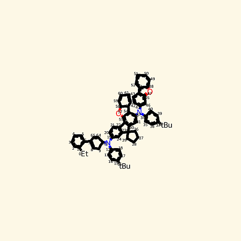 CCc1ccccc1C1=CCC(N(c2ccc(C(C)(C)C)cc2)c2ccc3c(c2)C2(CCCC2)c2cc(N(c4ccc(C(C)(C)C)cc4)c4ccc5c(c4)oc4ccccc45)c4c(c2-3)OC2C=CC=CC42)C=C1